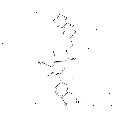 COc1c(Cl)ccc(-c2nc(C(=O)OCc3ccc4ccccc4c3)c(Cl)c(N)c2F)c1F